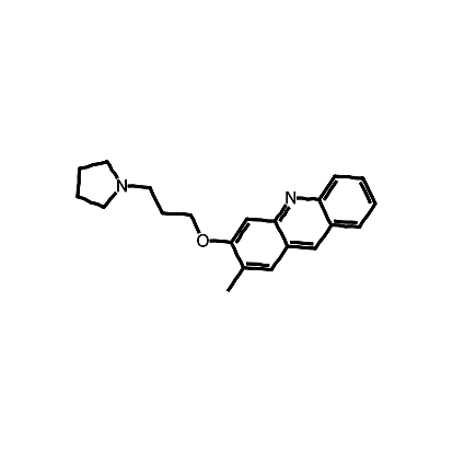 Cc1cc2cc3ccccc3nc2cc1OCCCN1CCCC1